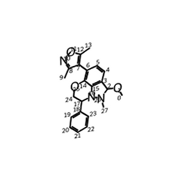 COC1c2ccc(-c3c(C)noc3C)c3c2N(C(c2ccccc2)CO3)N1C